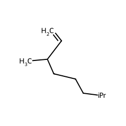 C=CC(C)CCCC(C)C